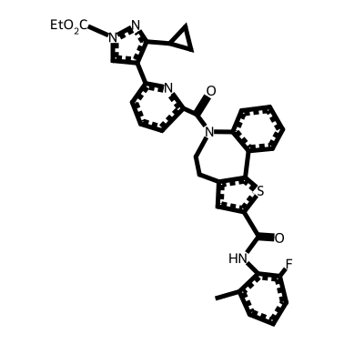 CCOC(=O)n1cc(-c2cccc(C(=O)N3CCc4cc(C(=O)Nc5c(C)cccc5F)sc4-c4ccccc43)n2)c(C2CC2)n1